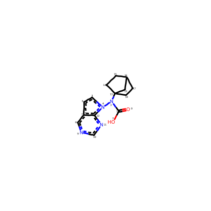 O=C(O)N(n1ccc2cncnc21)C12CCC(CC1)C2